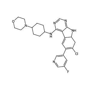 Fc1cncc(C2=C(Cl)CC3Nc4ncnc(NC5CCC(N6CCOCC6)CC5)c4C3=C2)c1